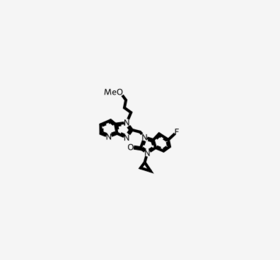 COCCCn1c(Cn2c(=O)n(C3CC3)c3ccc(F)cc32)nc2ncccc21